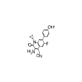 Nc1c(CO)c2cc(F)c(-c3ccc(O)cc3)cc2n(C2CC2)c1=O